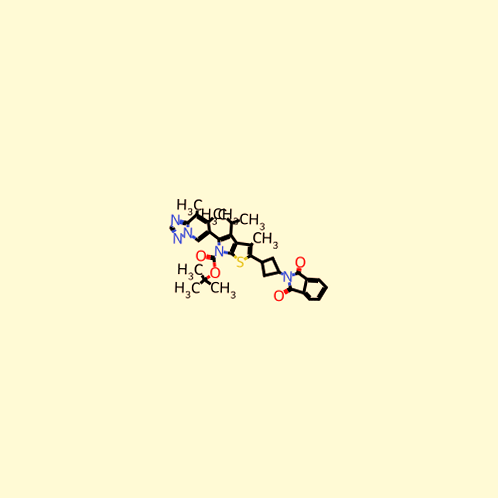 Cc1c(-c2c(C(C)C)c3c(C)c(C4CC(N5C(=O)c6ccccc6C5=O)C4)sc3n2C(=O)OC(C)(C)C)cn2ncnc2c1C